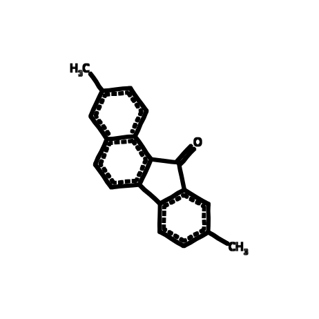 Cc1ccc2c(c1)C(=O)c1c-2ccc2cc(C)ccc12